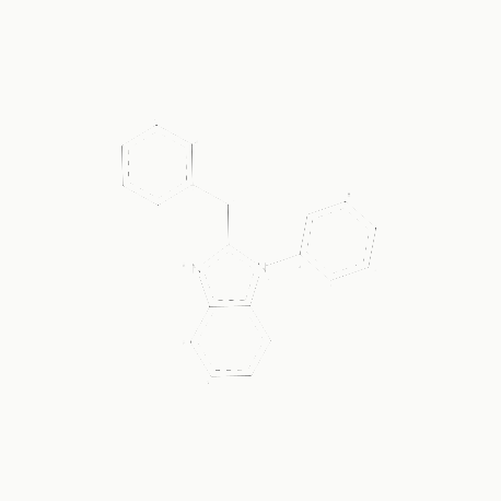 c1ccc(Cc2nc3ccccc3n2-c2ccccc2)cc1